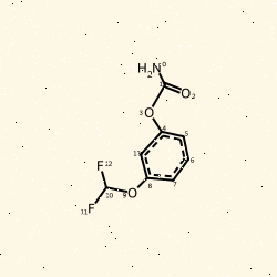 NC(=O)Oc1cccc(OC(F)F)c1